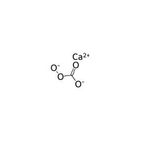 O=C([O-])O[O-].[Ca+2]